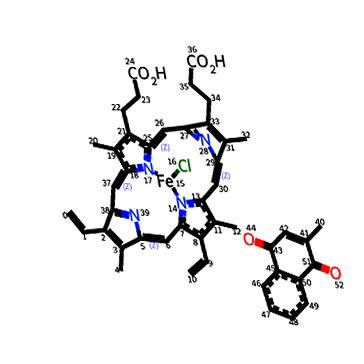 C=CC1=C(C)/C2=C/c3c(C=C)c(C)c4[n]3[Fe]([Cl])[n]3/c(c(C)c(CCC(=O)O)/c3=C/C3=NC(=C\4)/C(C)=C3CCC(=O)O)=C\C1=N2.CC1=CC(=O)c2ccccc2C1=O